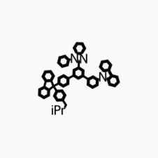 CC(C)Cc1ccc(C2(c3ccc(-c4cc(-c5cccc(-n6c7ccccc7c7ccccc76)c5)cc(-c5nc6ccccc6n5-c5ccccc5)c4)cc3)c3ccccc3-c3ccccc32)cc1